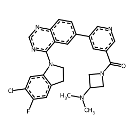 CN(C)C1CN(C(=O)c2cncc(-c3ccc4ncnc(N5CCc6cc(F)c(Cl)cc65)c4c3)c2)C1